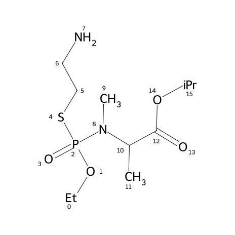 CCOP(=O)(SCCN)N(C)C(C)C(=O)OC(C)C